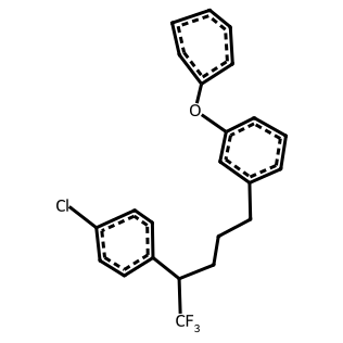 FC(F)(F)C(CCCc1cccc(Oc2ccccc2)c1)c1ccc(Cl)cc1